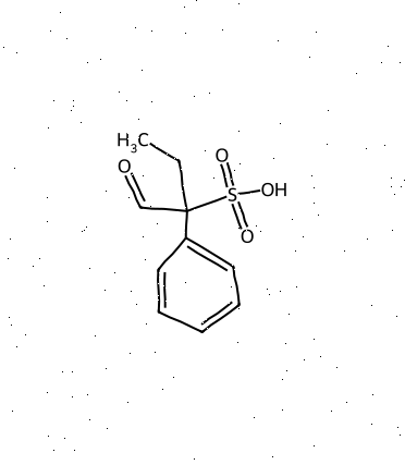 CCC(C=O)(c1ccccc1)S(=O)(=O)O